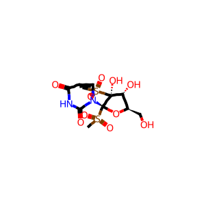 CS(=O)(=O)[C@@]1(O)[C@H](O)[C@@H](CO)O[C@]1(n1ccc(=O)[nH]c1=O)S(C)(=O)=O